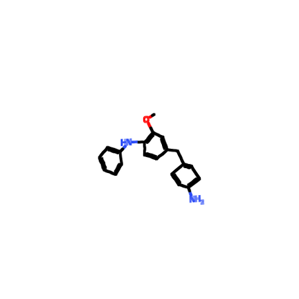 COc1cc(Cc2ccc(N)cc2)ccc1Nc1ccccc1